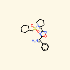 N[C@H](c1ccccc1)c1nc([C@@H]2CCCCN2S(=O)(=O)CC2CCCCC2)no1